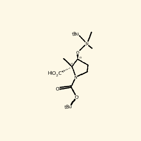 CC(C)(C)OC(=O)N1CC[C@H](O[Si](C)(C)C(C)(C)C)[C@@]1(C)C(=O)O